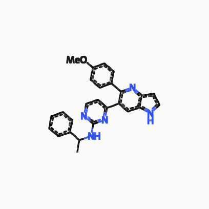 COc1ccc(-c2nc3cc[nH]c3cc2-c2ccnc(NC(C)c3ccccc3)n2)cc1